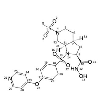 CS(=O)(=O)N1CC[C@H]2C[C@@H](C(=O)NO)N(S(=O)(=O)C3C=CC(Oc4ccncc4)=CC3)[C@H]2C1